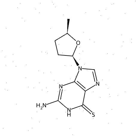 C[C@@H]1CC[C@H](n2cnc3c(=S)[nH]c(N)nc32)O1